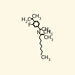 C=C(C)c1ccc(/C(C)=N/C(CCCCCCCC)=C(C)C)cc1F